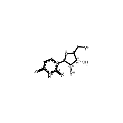 O=c1ccn(C2OC(CO)[C@H](O)[C@H]2O)c(=O)[nH]1